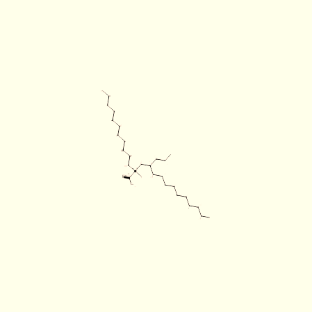 CCCCCCCCCCCC(C)(CC(CCC)CCCCCCCCCC)C(=O)O